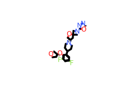 Fc1cc(F)c(O[C@@H]2CCOC2)c(C2CCN([C@@H]3COC4(C3)CN(c3nnco3)C4)CC2)c1